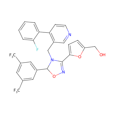 OCc1ccc(C2=NOC(c3cc(C(F)(F)F)cc(C(F)(F)F)c3)N2Cc2cnccc2-c2ccccc2F)o1